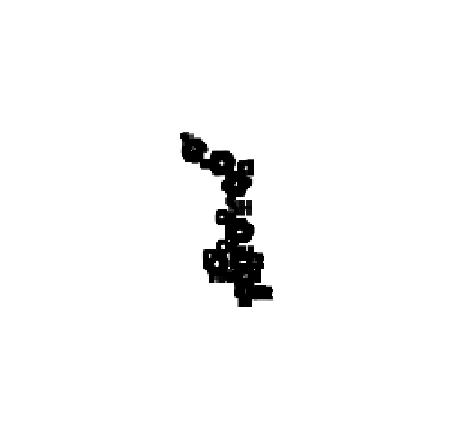 CCc1nc2c(cnn2CC)c(NC2CCOCC2)c1CNC(=O)c1cccc(C(=O)NCc2ccc(Cl)c(-c3cccc(CN4CCN(C)CC4)c3)c2)n1